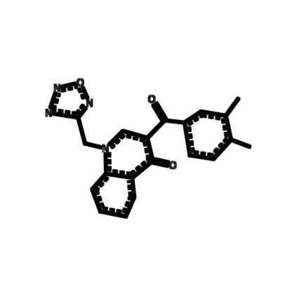 Cc1ccc(C(=O)c2cn(Cc3nnon3)c3ccccc3c2=O)cc1C